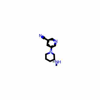 CN[C@@H]1CCCN(c2cncc(C#N)c2)C1